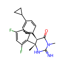 CN1C(=N)N[C@](C)(c2ccc(F)cc2F)[C@@H](c2ccc(C3CC3)cc2)C1=O